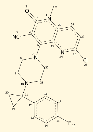 Cn1c(=O)c(C#N)c(N2CCN(C3(c4ccc(F)cc4)CC3)CC2)c2nc(Cl)ccc21